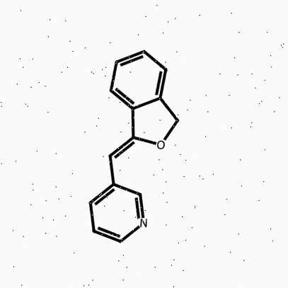 C(=C1OCc2ccccc21)c1cccnc1